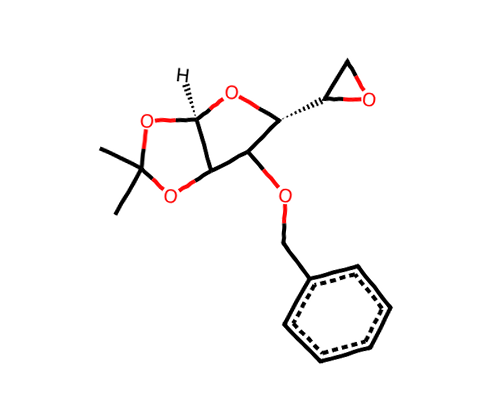 CC1(C)OC2C(OCc3ccccc3)[C@@H](C3CO3)O[C@@H]2O1